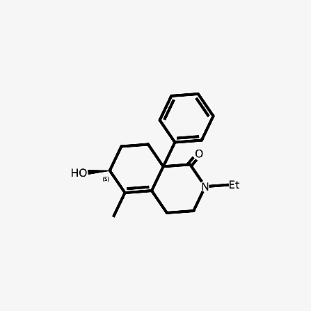 CCN1CCC2=C(C)[C@@H](O)CCC2(c2ccccc2)C1=O